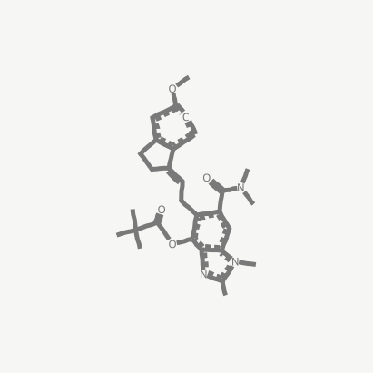 COc1ccc2c(c1)CCC2=CCc1c(C(=O)N(C)C)cc2c(nc(C)n2C)c1OC(=O)C(C)(C)C